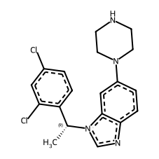 C[C@H](c1ccc(Cl)cc1Cl)n1cnc2ccc(N3CCNCC3)cc21